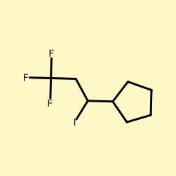 FC(F)(F)CC(I)C1CCCC1